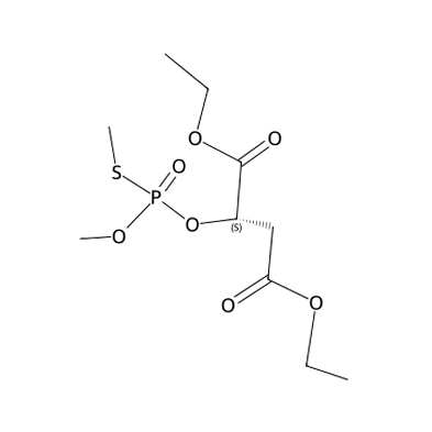 CCOC(=O)C[C@H](OP(=O)(OC)SC)C(=O)OCC